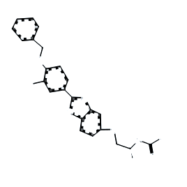 CC(=O)N[C@@H](C)COc1ccc2nc(-c3ccc(OCc4ccccc4)c(F)c3)oc2c1